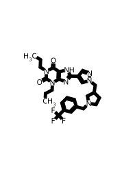 CCCn1c(=O)c2[nH]c(-c3cnn(CC4CCN(Cc5cccc(C(F)(F)F)c5)C4)c3)nc2n(CCC)c1=O